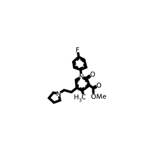 COC(=O)c1c(C)c(CCN2CCCC2)cn(-c2ccc(F)cc2)c1=O